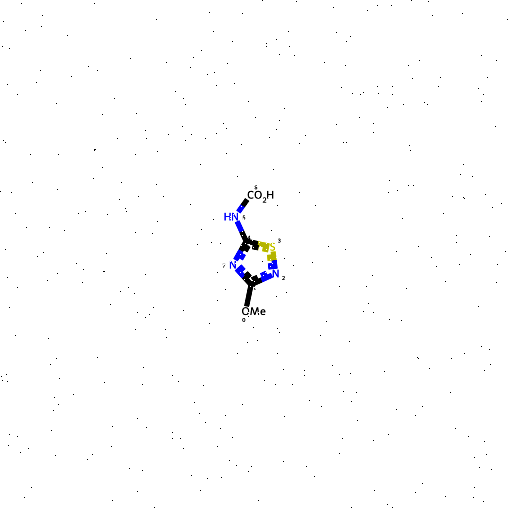 COc1nsc(NC(=O)O)n1